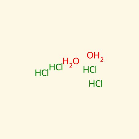 Cl.Cl.Cl.Cl.O.O